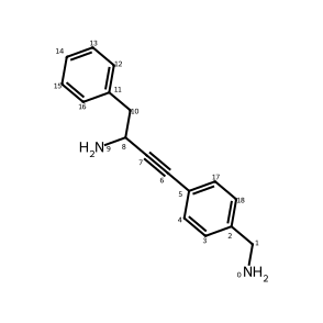 NCc1ccc(C#CC(N)Cc2ccccc2)cc1